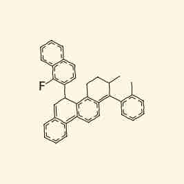 Cc1ccccc1C1=c2ccc3c(c2CCC1C)C(c1ccc2ccccc2c1F)C=c1ccccc1=3